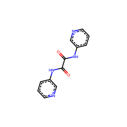 O=C(Nc1cccnc1)C(=O)Nc1cccnc1